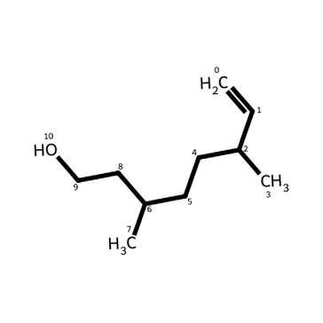 C=CC(C)CCC(C)CCO